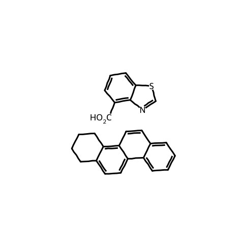 O=C(O)c1cccc2scnc12.c1ccc2c(c1)ccc1c3c(ccc12)CCCC3